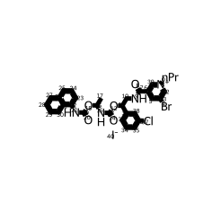 CCC[n+]1cc(Br)cc(C(=O)NCC(OC(=O)NC(C)OC(=O)Nc2cccc3ccccc23)c2cccc(Cl)c2)c1.[I-]